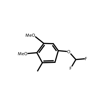 COc1cc(OC(F)F)cc(C)c1OC